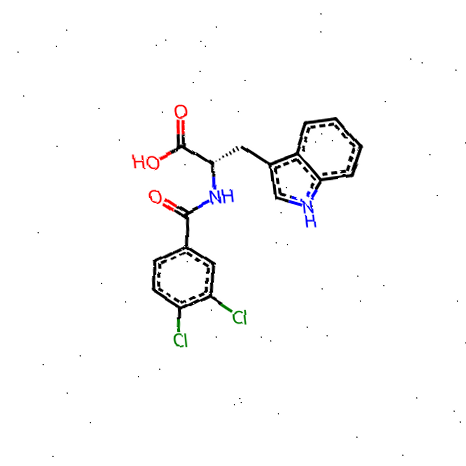 O=C(N[C@@H](Cc1c[nH]c2ccccc12)C(=O)O)c1ccc(Cl)c(Cl)c1